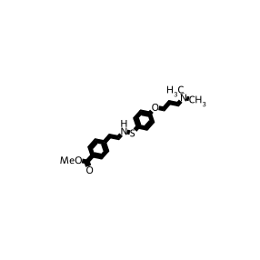 COC(=O)c1ccc(CCNSc2ccc(OCCCN(C)C)cc2)cc1